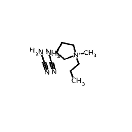 CCC[N+]1(C)CCCC1.N#CN.N#CN